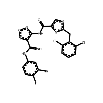 N=C(Nc1ccc(F)c(Br)c1)c1nonc1NC(=O)c1csc(Cc2c(Cl)cccc2Cl)n1